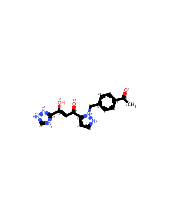 CC(=O)c1ccc(Cn2nccc2C(=O)C=C(O)c2nc[nH]n2)cc1